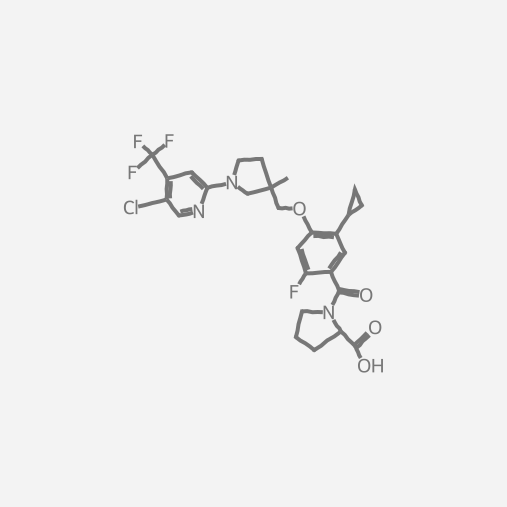 CC1(COc2cc(F)c(C(=O)N3CCCC3C(=O)O)cc2C2CC2)CCN(c2cc(C(F)(F)F)c(Cl)cn2)C1